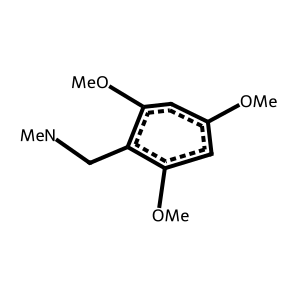 CNCc1c(OC)cc(OC)cc1OC